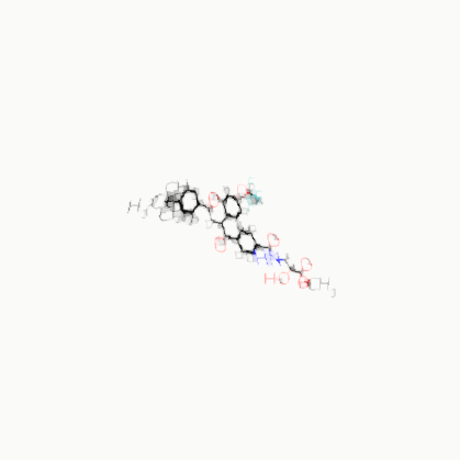 COC(=O)C(O)CNC(=O)c1ccc(C(=O)C(CC(=O)c2ccc(C(C)(C)C)cc2)c2ccc(OC(F)(F)F)cc2)cc1